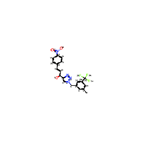 Cc1cc(Cn2cc(C(=O)/C=C/c3ccc([N+](=O)[O-])cc3)nn2)cc(C(F)(F)F)c1